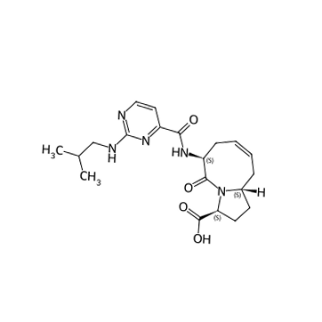 CC(C)CNc1nccc(C(=O)N[C@H]2CC=CC[C@@H]3CC[C@@H](C(=O)O)N3C2=O)n1